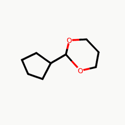 C1COC(C2CCCC2)OC1